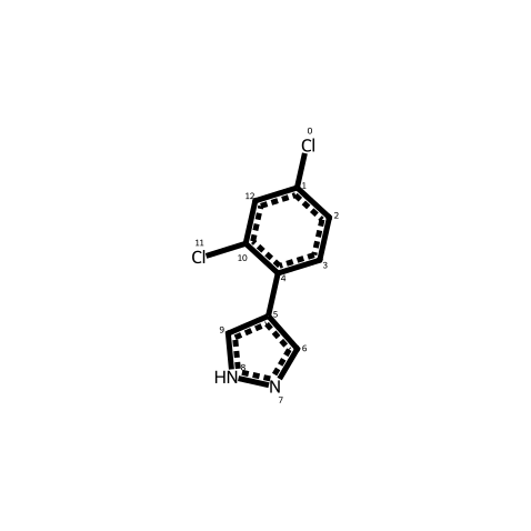 Clc1ccc(-c2cn[nH]c2)c(Cl)c1